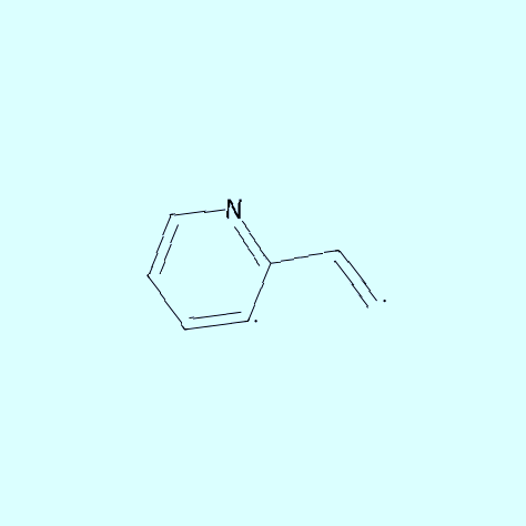 [CH]=Cc1[c]cccn1